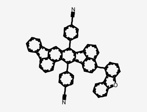 N#Cc1ccc(-c2c3cc4c5ccccc5c5cccc(c3c(-c3ccc(C#N)cc3)c3c6ccc(-c7cccc8oc9ccccc9c78)c7cccc(c23)c76)c54)cc1